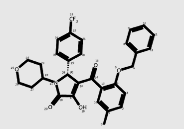 Cc1ccc(OCc2ccccc2)c(C(=O)C2=C(O)C(=O)N(C3CCOCC3)[C@@H]2c2ccc(C(F)(F)F)cc2)c1